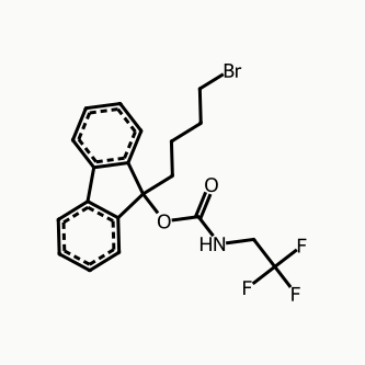 O=C(NCC(F)(F)F)OC1(CCCCBr)c2ccccc2-c2ccccc21